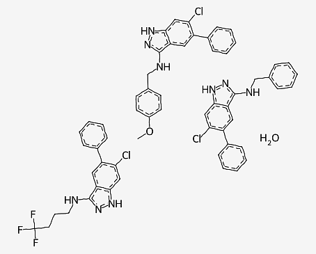 COc1ccc(CNc2n[nH]c3cc(Cl)c(-c4ccccc4)cc23)cc1.Clc1cc2[nH]nc(NCc3ccccc3)c2cc1-c1ccccc1.FC(F)(F)CCCNc1n[nH]c2cc(Cl)c(-c3ccccc3)cc12.O